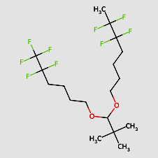 CC(C)(C)C(OCCCCC(F)(F)C(C)(F)F)OCCCCC(F)(F)C(F)(F)F